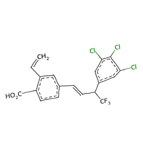 C=Cc1cc(C=CC(c2cc(Cl)c(Cl)c(Cl)c2)C(F)(F)F)ccc1C(=O)O